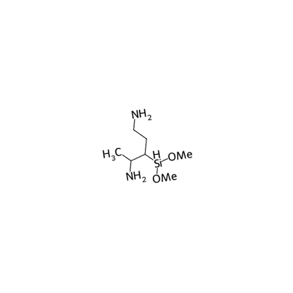 CO[SiH](OC)C(CCN)C(C)N